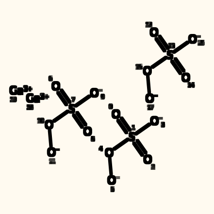 O=S(=O)([O-])O[O-].O=S(=O)([O-])O[O-].O=S(=O)([O-])O[O-].[Ga+3].[Ga+3]